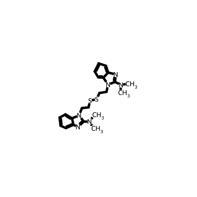 CN(C)c1nc2ccccc2n1CCSSCCn1c(N(C)C)nc2ccccc21